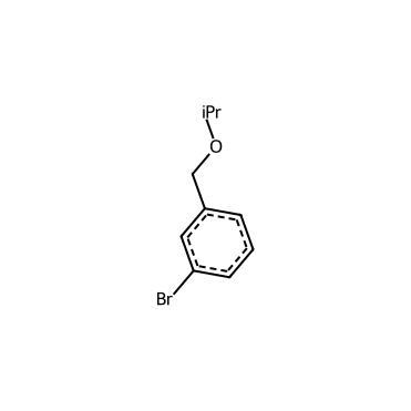 [CH2]C(C)OCc1cccc(Br)c1